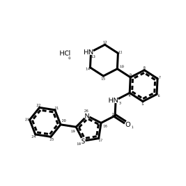 Cl.O=C(Nc1ccccc1C1CCNCC1)c1csc(-c2ccccc2)n1